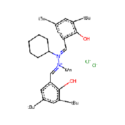 CC(C)(C)c1cc(C=[N+]([Mn])[N+](=Cc2cc(C(C)(C)C)cc(C(C)(C)C)c2O)C2CCCCC2)c(O)c(C(C)(C)C)c1.[Cl-].[Cl-]